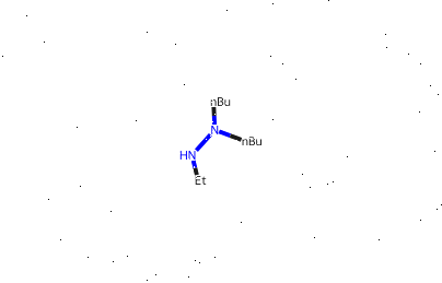 [CH2]CNN(CCCC)CCCC